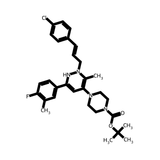 CC1=C(N2CCN(C(=O)OC(C)(C)C)CC2)C=C(c2ccc(F)c(C)c2)NN1CC=Cc1ccc(Cl)cc1